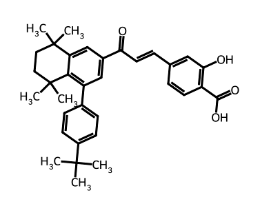 CC(C)(C)c1ccc(-c2cc(C(=O)C=Cc3ccc(C(=O)O)c(O)c3)cc3c2C(C)(C)CCC3(C)C)cc1